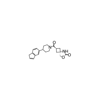 O=C1N[C@]2(CO1)C[C@H](C(=O)N1CCC(c3ccc4c(c3)C=CC4)CC1)C2